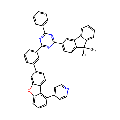 CC1(C)c2ccccc2-c2cc(-c3nc(-c4ccccc4)nc(-c4cccc(-c5ccc6c(c5)oc5cccc(-c7ccncc7)c56)c4)n3)ccc21